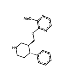 COc1nccnc1OC[C@@H]1CNCC[C@H]1c1ccccc1